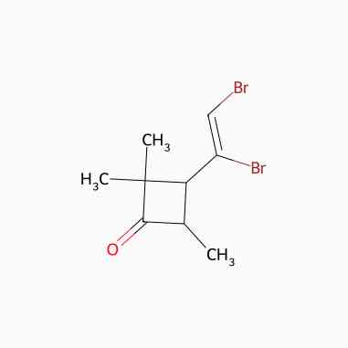 CC1C(=O)C(C)(C)C1/C(Br)=C/Br